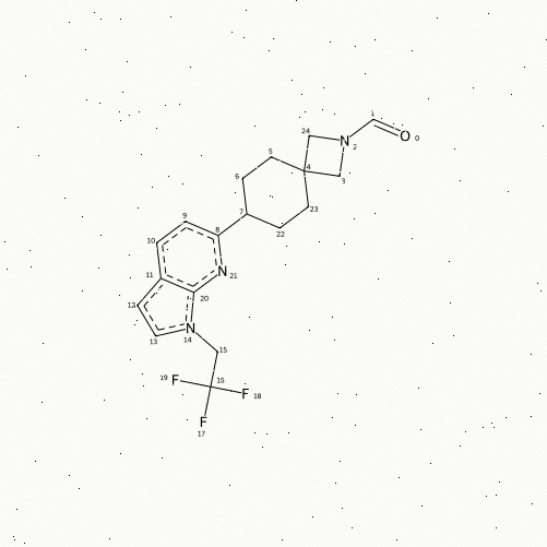 O=CN1CC2(CCC(c3ccc4ccn(CC(F)(F)F)c4n3)CC2)C1